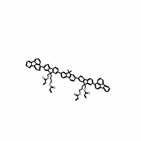 C=CC(=O)OCCCC1(COC(=O)C=C)c2cc(-c3ccc4c(c3)C(C)(C)c3cc(-c5ccc6c(c5)C(CCCOC(=O)C=C)(COC(=O)C=C)c5cc(-c7ccc8c9c(cccc79)-c7ccccc7-8)ccc5-6)ccc3-4)ccc2-c2ccc(-c3ccc4c5c(cccc35)-c3ccccc3-4)cc21